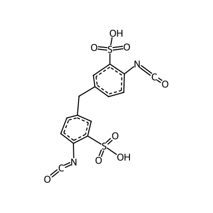 O=C=Nc1ccc(Cc2ccc(N=C=O)c(S(=O)(=O)O)c2)cc1S(=O)(=O)O